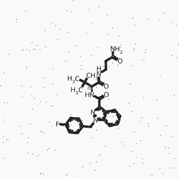 CC(C)(C)[C@H](NC(=O)c1nn(Cc2ccc(F)cc2)c2ccccc12)C(=O)NCCC(N)=O